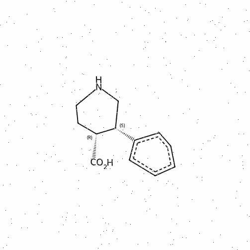 O=C(O)[C@@H]1CCNC[C@@H]1c1ccccc1